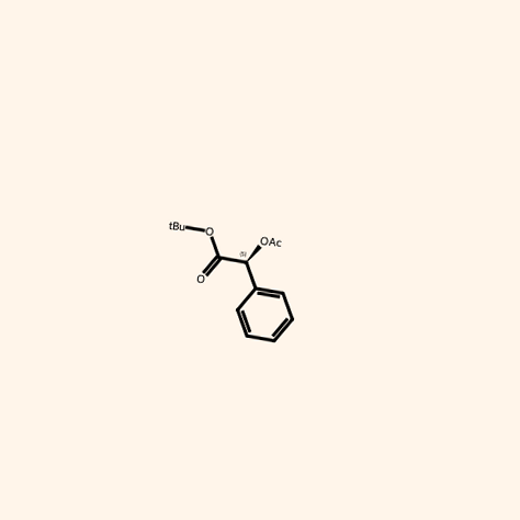 CC(=O)O[C@H](C(=O)OC(C)(C)C)c1ccccc1